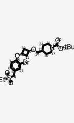 CCS(=O)(=O)Cc1ccc(O[C@H]2C[C@H](OCC3CCN(C(=O)OC(C)(C)C)CC3)C2)c(Br)c1